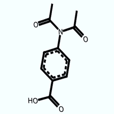 CC(=O)N(C(C)=O)c1ccc(C(=O)O)cc1